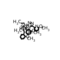 CCCN(c1nnc(-c2c#ccc(OC)n2)n1-c1c(O)cccc1OC)S(=O)(=O)[C@@H](C)[C@H](O)c1ccccc1OC